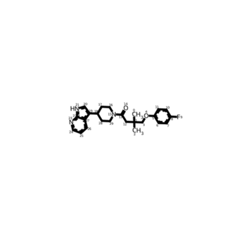 CC(C)(COc1ccc(F)cc1)CC(=O)N1CCC(c2c[nH]c3ncccc23)CC1